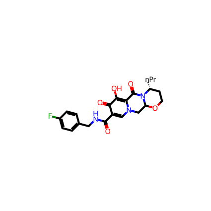 CCC[C@@H]1CCOC2Cn3cc(C(=O)NCc4ccc(F)cc4)c(=O)c(O)c3C(=O)N21